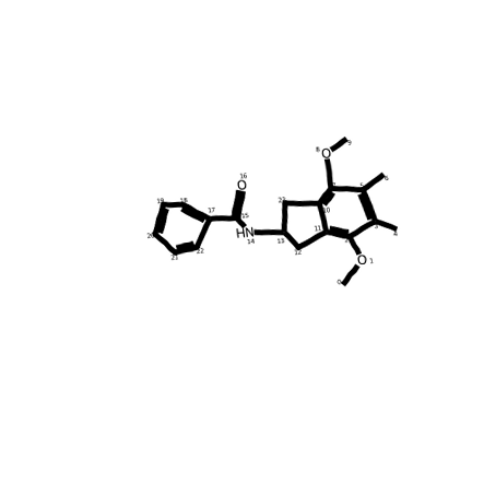 COc1c(C)c(C)c(OC)c2c1CC(NC(=O)c1ccccc1)C2